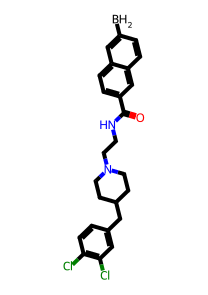 Bc1ccc2cc(C(=O)NCCN3CCC(Cc4ccc(Cl)c(Cl)c4)CC3)ccc2c1